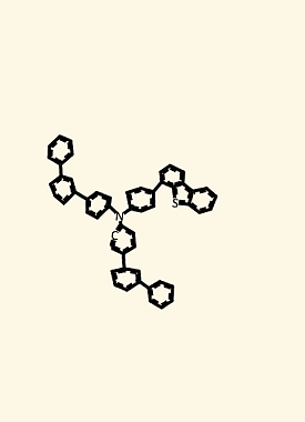 c1ccc(-c2cccc(-c3ccc(N(c4ccc(-c5cccc(-c6ccccc6)c5)cc4)c4ccc(-c5cccc6c5sc5ccccc56)cc4)cc3)c2)cc1